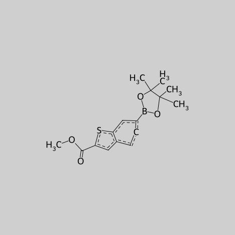 COC(=O)c1cc2ccc(B3OC(C)(C)C(C)(C)O3)cc2s1